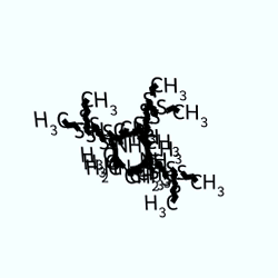 C=C1NC(=C)C(C)(C)c2[nH]c(c3c2SC(=C2SC(SCCC)=C(SCCC)S2)S3)C(C)(C)c2[nH]c(c3c2SC(=C2SC(SCCC)=C(SCCC)S2)S3)C(C)(C)c2[nH]c(c3c2SC(=C2SC(SCCC)=C(SCCC)S2)S3)C1(C)C